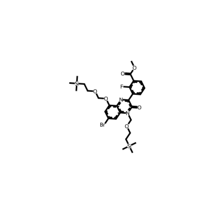 COC(=O)c1cccc(-c2nc3c(OCOCC[Si](C)(C)C)cc(Br)cc3n(COCC[Si](C)(C)C)c2=O)c1F